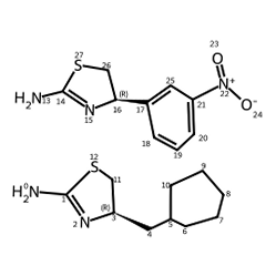 NC1=N[C@H](CC2CCCCC2)CS1.NC1=N[C@H](c2cccc([N+](=O)[O-])c2)CS1